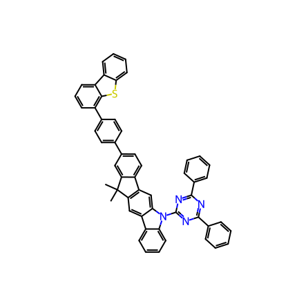 CC1(C)c2cc(-c3ccc(-c4cccc5c4sc4ccccc45)cc3)ccc2-c2cc3c(cc21)c1ccccc1n3-c1nc(-c2ccccc2)nc(-c2ccccc2)n1